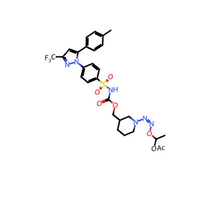 CC(=O)OC(C)O/N=N\N1CCCC(COC(=O)NS(=O)(=O)c2ccc(-n3nc(C(F)(F)F)cc3-c3ccc(C)cc3)cc2)C1